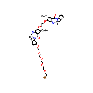 COc1cc2c(cc1OCCCOc1cc3c(cc1OC)C(=O)N1c4cc(OCCOCCOCCOCCOCCS)ccc4C[C@H]1C=N3)N=C[C@@H]1Cc3ccccc3N1C2=O